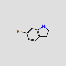 Brc1ccc2c(c1)[N]CC2